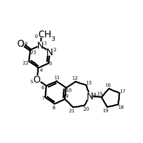 Cn1ncc(Oc2ccc3c(c2)CCN(C2CCCC2)CC3)cc1=O